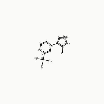 Cc1n[nH]cc1-c1cccc(C(F)(F)F)c1